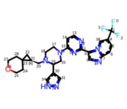 FC(F)(F)c1ccc2ncc(-c3nccc(N4CCN(C[C@@H]5CC56CCOCC6)C(c5cn[nH]c5)C4)n3)n2c1